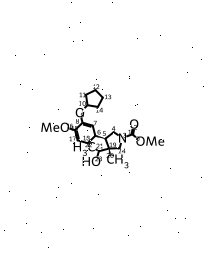 COC(=O)N1C[C@H](C2C=C(OC3CCCC3)C(OC)=CC2)[C@@](C)([C@H](C)O)C1